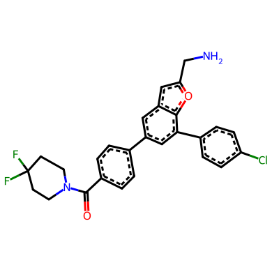 NCc1cc2cc(-c3ccc(C(=O)N4CCC(F)(F)CC4)cc3)cc(-c3ccc(Cl)cc3)c2o1